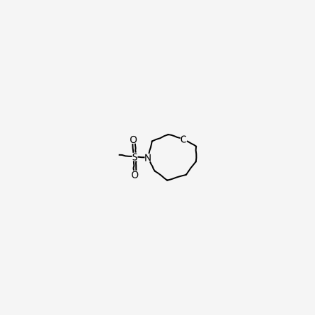 CS(=O)(=O)N1CCCCCCCC1